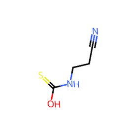 N#CCCNC(O)=S